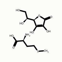 CSCC[C@H](N)C(=O)O.O=C1O[C@H]([C@@H](O)CO)C(O)=C1O